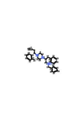 CC(C)(C)CCN1CCN([C@H](CNCc2ccccc2)Cc2ccccc2)C[C@@H]1Cc1ccccc1